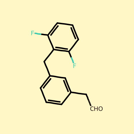 O=CCc1cccc(Cc2c(F)cccc2F)c1